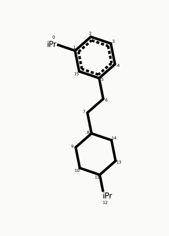 CC(C)c1cccc(CCC2CCC(C(C)C)CC2)c1